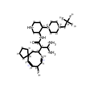 NC(N)C(C(=O)NC1CNCCC1N1CCN(CC(F)(F)F)CC1)C1CC2(/C=C\C(F)/C=N\1)CCCC2